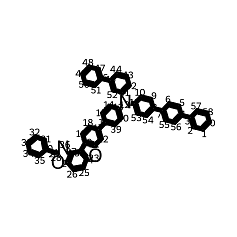 c1ccc(-c2ccc(-c3ccc(N(c4ccc(-c5ccc6c(c5)oc5ccc7oc(-c8ccccc8)nc7c56)cc4)c4cccc(-c5ccccc5)c4)cc3)cc2)cc1